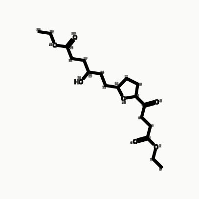 CCOC(=O)CCC(=O)C1CCC(CCC(O)CCC(=O)OCC)O1